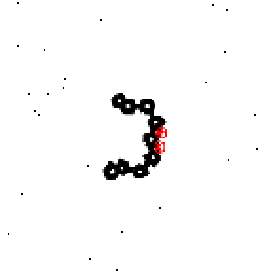 c1cc(-c2ccc3ccccc3c2)cc(-c2ccc3oc4c(ccc5c6cc(-c7cccc(-c8ccc9ccccc9c8)c7)ccc6oc54)c3c2)c1